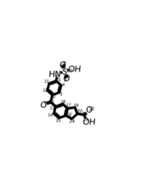 O=C(c1ccc(NS(=O)(=O)O)cc1)c1ccc2c(c1)CC(C(=O)O)C2